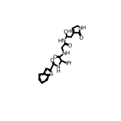 CC(C)C(NC(=O)c1cc2ccccc2s1)C(=O)NCC(=O)NC(C=O)CC1CCNC1=O